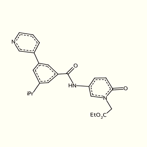 CCOC(=O)Cn1cc(NC(=O)c2cc(-c3cccnc3)cc(C(C)C)c2)ccc1=O